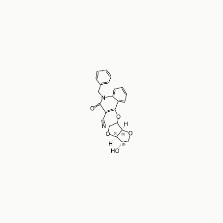 N#Cc1c(OC2CO[C@H]3[C@@H]2OC[C@@H]3O)c2ccccc2n(Cc2ccccc2)c1=O